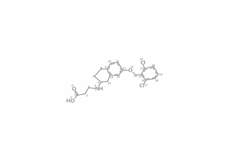 O=C(O)CCNC1CCc2ccc(OCc3c(Cl)cccc3Cl)cc2C1